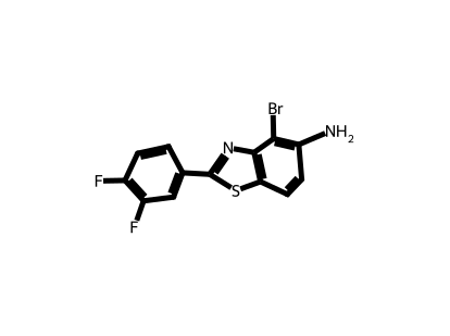 Nc1ccc2sc(-c3ccc(F)c(F)c3)nc2c1Br